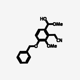 COc1c(OCc2ccccc2)ccc(C(O)OC)c1CC#N